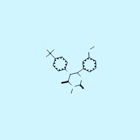 C=C1[C@@H](c2ccc(C(F)(F)F)cc2)[C@@](C)(c2cccc(SC)c2)NC(=N)N1C